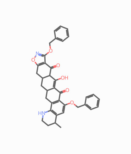 CC1CCNc2c1cc(OCc1ccccc1)c1c2CC2CC3Cc4onc(OCc5ccccc5)c4C(=O)C3C(O)=C2C1=O